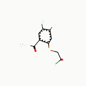 COC(=O)c1cc(Cl)c(Cl)cc1SCC(=O)Cl